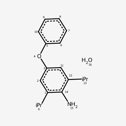 CC(C)c1cc(Oc2ccccc2)cc(C(C)C)c1N.O